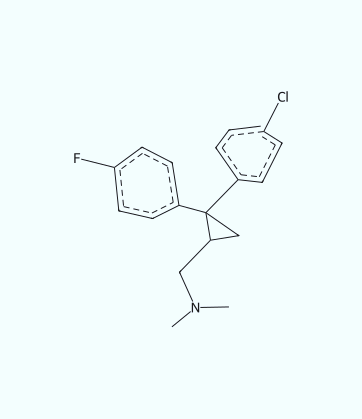 CN(C)CC1CC1(c1ccc(F)cc1)c1ccc(Cl)cc1